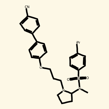 CC(C)c1ccc(S(=O)(=O)N(C)C2CCCN2CCCOc2ccc(-c3ccc(C#N)cc3)cc2)cc1